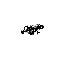 Cc1cc(C)n(-c2ccc(C(=O)NC3(C(=O)O)CCCCC3)nc2-c2ccc(Cl)c(OCCCN(C)C)c2)n1